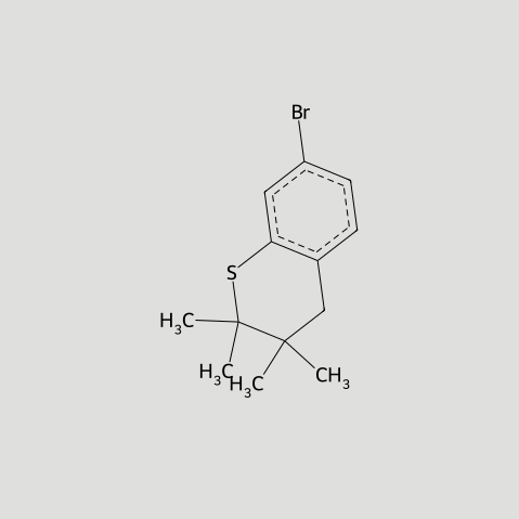 CC1(C)Cc2ccc(Br)cc2SC1(C)C